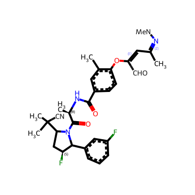 CN/N=C(C)\C=C(/C=O)Oc1ccc(C(=O)N[C@H](C)C(=O)N2C(c3cccc(F)c3)[C@@H](F)CC2C(C)(C)C#N)cc1C